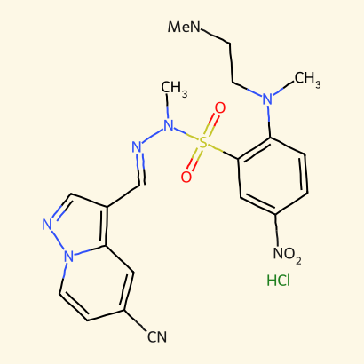 CNCCN(C)c1ccc([N+](=O)[O-])cc1S(=O)(=O)N(C)N=Cc1cnn2ccc(C#N)cc12.Cl